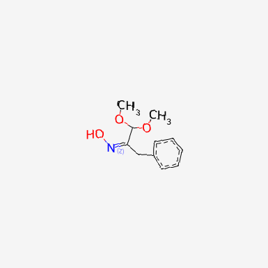 COC(OC)/C(Cc1ccccc1)=N\O